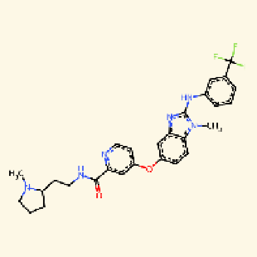 CN1CCCC1CCNC(=O)c1cc(Oc2ccc3c(c2)nc(Nc2cccc(C(F)(F)F)c2)n3C)ccn1